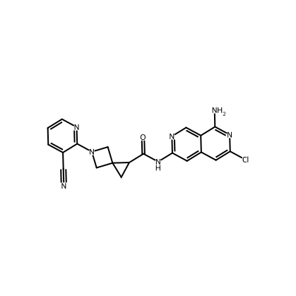 N#Cc1cccnc1N1CC2(CC2C(=O)Nc2cc3cc(Cl)nc(N)c3cn2)C1